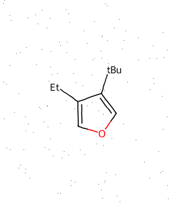 CCc1cocc1C(C)(C)C